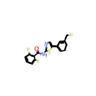 O=C(Nc1ncc(-c2cccc(CF)c2)s1)c1c(F)cccc1F